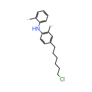 [CH2]c1ccccc1Nc1ccc(CCCCCCCl)cc1[CH2]